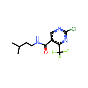 CC(C)CCNC(=O)c1cnc(Cl)nc1C(F)(F)F